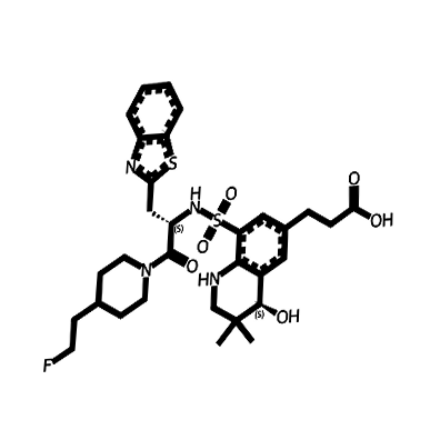 CC1(C)CNc2c(cc(CCC(=O)O)cc2S(=O)(=O)N[C@@H](Cc2nc3ccccc3s2)C(=O)N2CCC(CCF)CC2)[C@H]1O